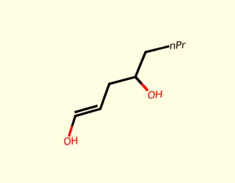 CCCCC(O)C/C=C/O